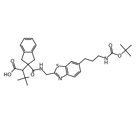 CC(C)(C)OC(=O)NCCCc1ccc2nc(CNC(=O)C3(C(C(=O)O)C(C)(C)C)Cc4ccccc4C3)sc2c1